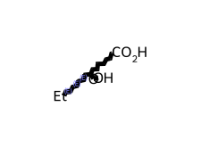 CC/C=C/C/C=C/C=C/C(CCCCCCCC(=O)O)OO